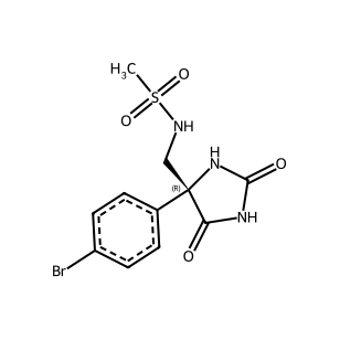 CS(=O)(=O)NC[C@@]1(c2ccc(Br)cc2)NC(=O)NC1=O